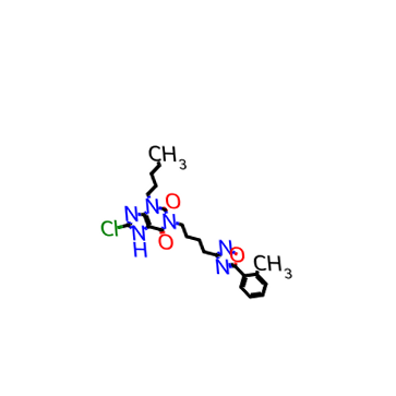 CCCCCn1c(=O)n(CCCCc2noc(-c3ccccc3C)n2)c(=O)c2[nH]c(Cl)nc21